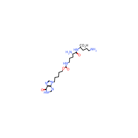 NCCC[C@H](NC(=O)[C@@H](N)CCCNC(=O)OCCCCCn1cnc2c(=O)[nH]cnc21)C(=O)O